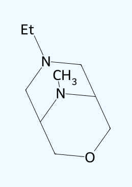 CCN1CC2COCC(C1)N2C